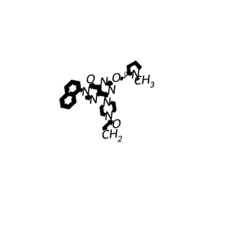 C=CC(=O)N1CCN(c2nc(OC[C@@H]3CCCN3C)nc3c(=O)n(-c4cccc5ccccc45)cnc23)CC1